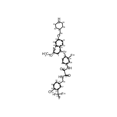 COc1cc(Oc2ccc(NC(=O)C(=O)NCc3ccc(Cl)c(C(F)(F)F)c3)cc2F)c2ccc(OCC3CCNCC3)cc2n1